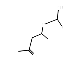 CC(I)NC(O)CC(=O)O